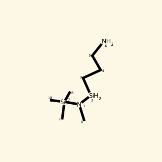 CN([SiH2]CCCN)[Si](C)(C)C